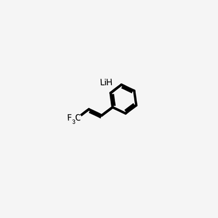 FC(F)(F)C=Cc1ccccc1.[LiH]